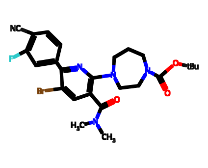 CN(C)C(=O)c1cc(Br)c(-c2ccc(C#N)c(F)c2)nc1N1CCCN(C(=O)OC(C)(C)C)CC1